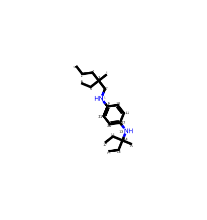 CCCC(C)(CC)CNc1ccc(NC(C)(CC)CC)cc1